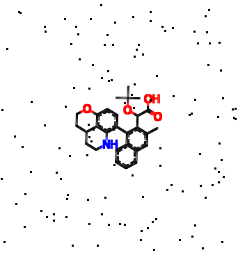 Cc1cc2ccccc2c(-c2ccc3c4c2NCCC4CCO3)c1C(OC(C)(C)C)C(=O)O